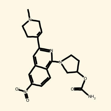 CN1CC=C(c2cc3cc([N+](=O)[O-])ccc3c(N3CCC(OC(N)=O)C3)n2)CC1